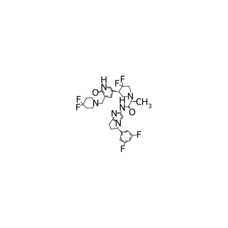 C[C@@H](C(=O)Nc1cn2c(n1)CC[C@@H]2c1cc(F)cc(F)c1)N1CCC(F)(F)[C@H](c2c[nH]c(=O)c(CN3CCC(F)(F)CC3)c2)C1